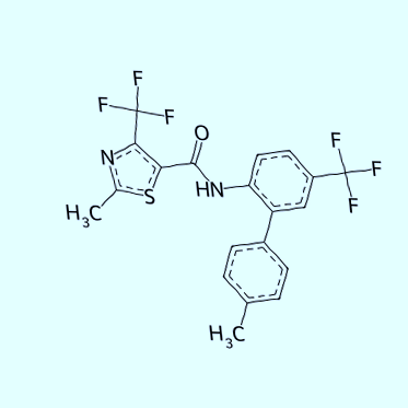 Cc1ccc(-c2cc(C(F)(F)F)ccc2NC(=O)c2sc(C)nc2C(F)(F)F)cc1